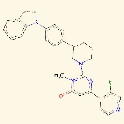 Cn1c(N2CCCC(c3ccc(N4CCc5ccccc54)cc3)C2)nc(-c2ccncc2F)cc1=O